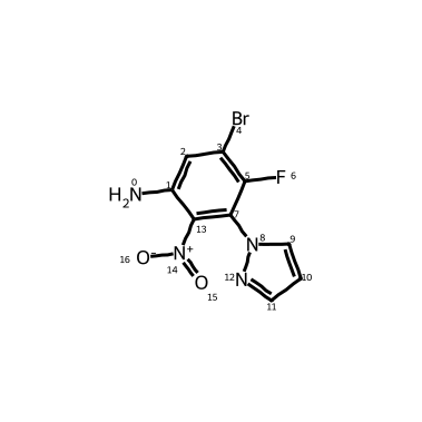 Nc1cc(Br)c(F)c(-n2cccn2)c1[N+](=O)[O-]